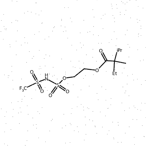 CCC(C)(C(=O)OCCOS(=O)(=O)NS(=O)(=O)C(F)(F)F)C(C)C